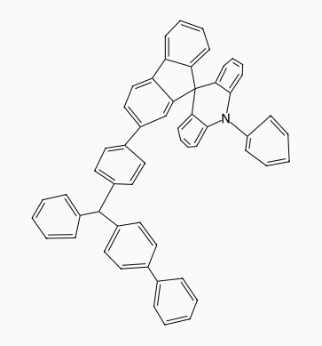 c1ccc(-c2ccc(C(c3ccccc3)c3ccc(-c4ccc5c(c4)C4(c6ccccc6-5)c5ccccc5N(c5ccccc5)c5ccccc54)cc3)cc2)cc1